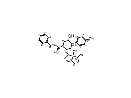 CC(C)[Si](O[C@@H]1CN(C(=O)OCc2ccccc2)C[C@H](O)[C@H]1c1ccc(O)cc1)(C(C)C)C(C)C